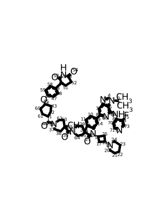 CC(C)n1cnc2cc(-c3ccc4c(c3)N([C@H]3C[C@@H](N5CCCCC5)C3)C(=O)C43CCN(C(=O)C4(C)CCN(C(=O)[C@H]5CC[C@H](Oc6ccc(C7CCC(=O)NC7=O)cc6)CC5)CC4)CC3)nc(Nc3ccncc3F)c21